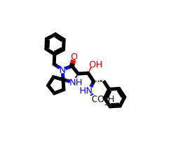 O=C(O)N[C@@H](Cc1ccccc1)[C@@H](O)[C@@H]1NC2(CCCC2)N(Cc2ccccc2)C1=O